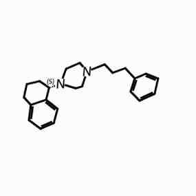 c1ccc(CCCN2CCN([C@H]3CCCc4ccccc43)CC2)cc1